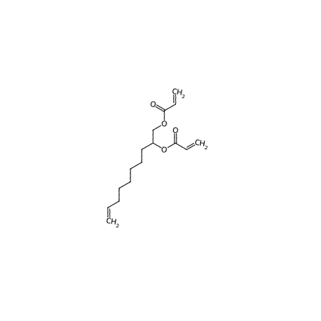 C=CCCCCCCC(COC(=O)C=C)OC(=O)C=C